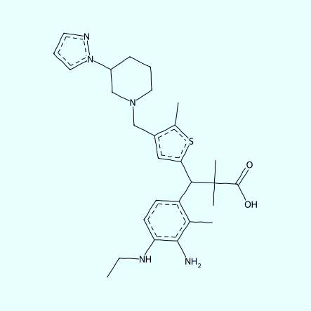 CCNc1ccc(C(c2cc(CN3CCCC(n4cccn4)C3)c(C)s2)C(C)(C)C(=O)O)c(C)c1N